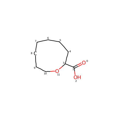 O=C(O)C1CCCCCCCO1